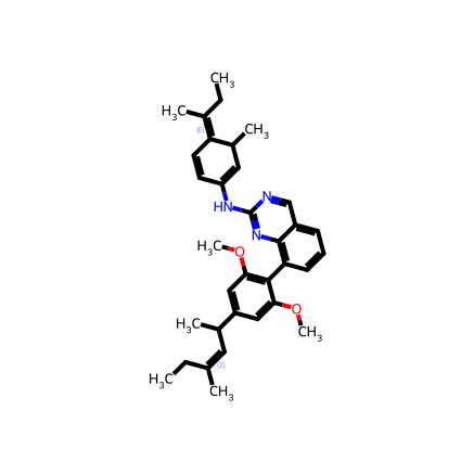 CC/C(C)=C\C(C)c1cc(OC)c(-c2cccc3cnc(NC4=CC(C)/C(=C(/C)CC)C=C4)nc23)c(OC)c1